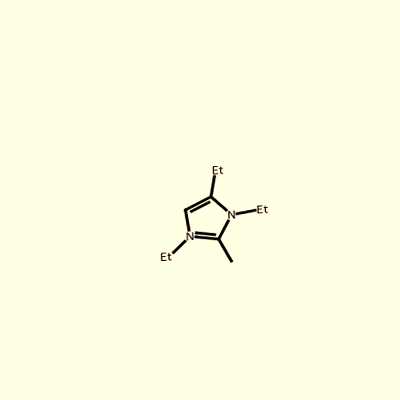 CCc1c[n+](CC)c(C)n1CC